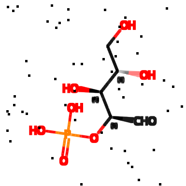 O=C[C@@H](OP(=O)(O)O)[C@@H](O)[C@@H](O)CO